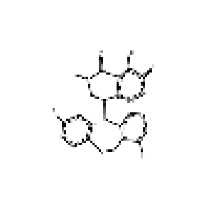 CN1C[C@H]([C@H]2c3cc(F)ccc3CCc3c(F)cccc32)n2ncc(=O)c(O)c2C1=O